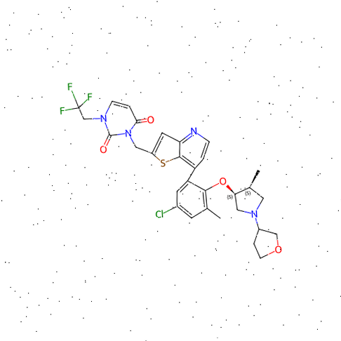 Cc1cc(Cl)cc(-c2ccnc3cc(Cn4c(=O)ccn(CC(F)(F)F)c4=O)sc23)c1O[C@@H]1CN(C2CCOC2)C[C@@H]1C